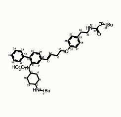 CC(C)(C)NC1CCC(N(C(=O)O)c2cc(/C=C/CCOc3ccc(CCNC(=O)OC(C)(C)C)cc3)ccc2-c2ccccc2)CC1